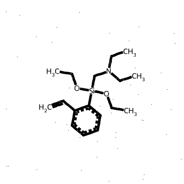 C=Cc1ccccc1[Si](CN(CC)CC)(OCC)OCC